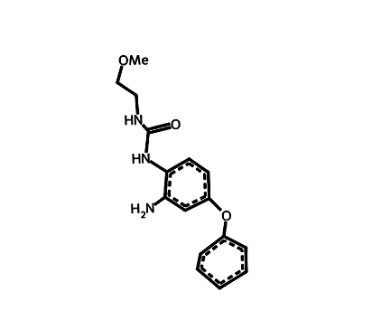 COCCNC(=O)Nc1ccc(Oc2ccccc2)cc1N